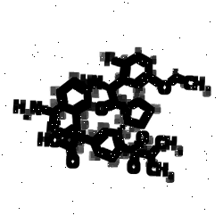 CCOc1ccc(F)c([C@H](Nc2ccc3c(N)nccc3c2)C(=O)N2CCC[C@@H]2c2cc(NC(=O)O)ccc2S(=O)(=O)C(C)C)c1